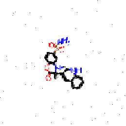 CN1c2cc(S(N)(=O)=O)ccc2OC(=O)C1(C)C1=Cc2ccccc2NC1